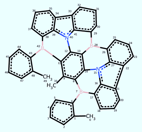 Cc1ccccc1B1c2c(C)c3c4c5c2-n2c6c1cccc6c1cccc(c12)B5c1cccc2c5cccc(c5n-4c12)B3c1ccccc1C